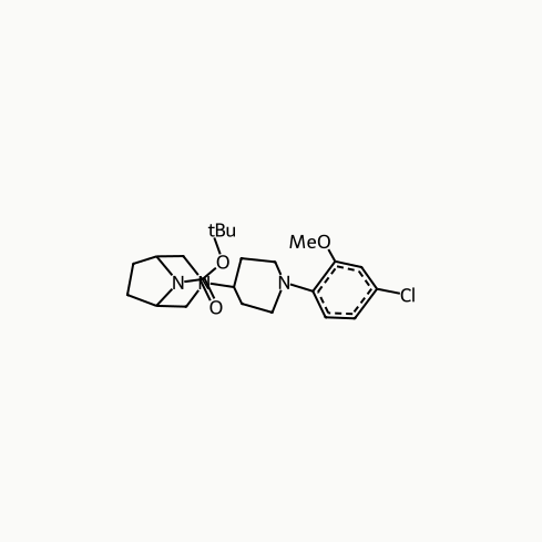 COc1cc(Cl)ccc1N1CCC(N2CC3CCC(C2)N3C(=O)OC(C)(C)C)CC1